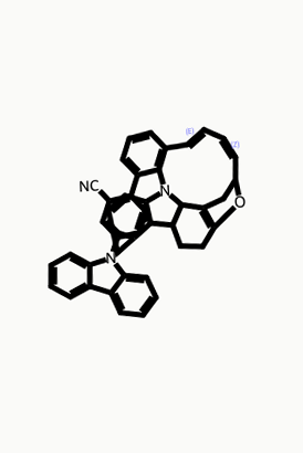 N#Cc1cc(-n2c3ccccc3c3ccccc32)ccc1-c1cccc2c1N1C3=C(C4CC4C=C3)C3CCC4=C(CC(/C=C\C=C\2)O4)C31